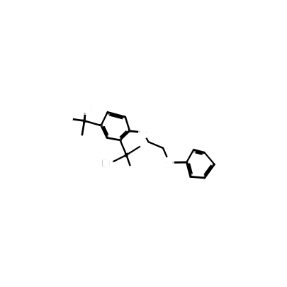 CCC(C)(C)c1ccc(OCCOc2c[c]ccc2)c(C(C)(C)CC)c1